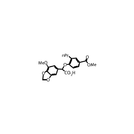 CCCc1cc(C(=O)OC)ccc1OC(C(=O)O)c1cc(OC)c2c(c1)OCO2